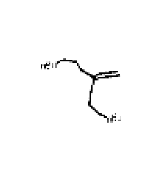 [CH2]CCCCC(=C)CCCCC